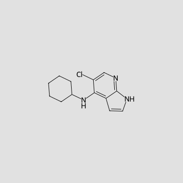 Clc1cnc2[nH]ccc2c1NC1CCCCC1